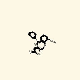 CCC(O)C[C@@]1(CC)CSc2c(OC)cccc2[C@H](c2ccccc2)N1